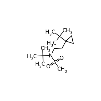 CC(C)(C)N(CCC1(C(C)(C)C)CC1)S(C)(=O)=O